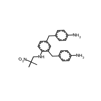 CC(C)(CNc1ccc(Cc2ccc(N)cc2)cc1Cc1ccc(N)cc1)[N+](=O)[O-]